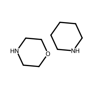 C1CCNCC1.C1COCCN1